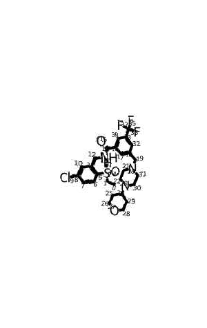 CC[SH](C)(=O)c1ccc(Cl)cc1CNC(=O)c1cc(CN2CCN(C3CCOCC3)CC2)cc(C(F)(F)F)c1